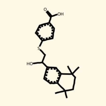 CC1(C)CCC(C)(C)c2cc(C(O)CSc3ccc(C(=O)O)cc3)ccc21